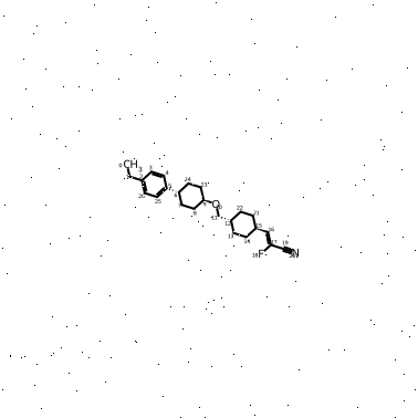 CCc1ccc([C@H]2CC[C@H](OC[C@H]3CC[C@H](C=C(F)C#N)CC3)CC2)cc1